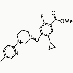 COC(=O)c1cc(C2CC2)c(O[C@@H]2CCCN(c3ccc(C)cn3)C2)cc1F